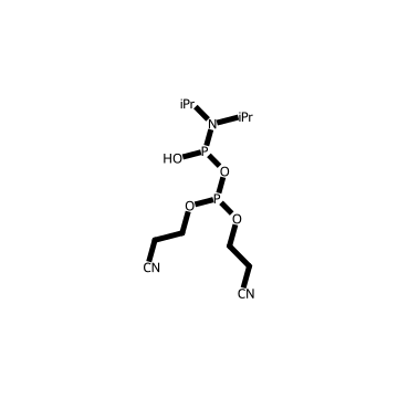 CC(C)N(C(C)C)P(O)OP(OCCC#N)OCCC#N